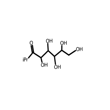 CC(C)C(=O)C(O)C(O)C(O)C(O)CO